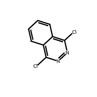 Clc1nnc(Cl)c2ccc[c]c12